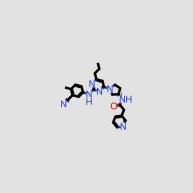 CCCc1cc(N2CC[C@H](NC(=O)Cc3cccnc3)C2)nc(Nc2ccc(C)c(C#N)c2)n1